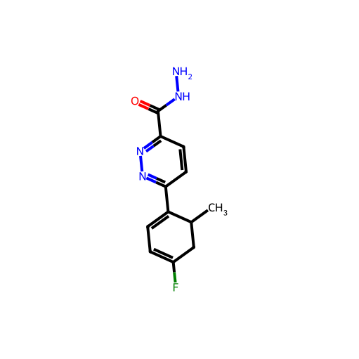 CC1CC(F)=CC=C1c1ccc(C(=O)NN)nn1